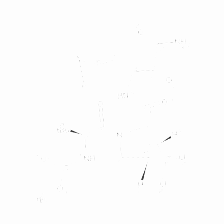 CC(C)(C)OC(=O)N[C@H](C(=O)N1C[C@@H]2[C@H]([C@H]1C(=O)NC(CC1CC1)C(=O)C(N)=O)C2(Cl)Cl)C(C)(C)C